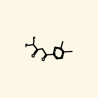 Cc1ccc(C(=O)CC(=O)C(F)F)cc1C